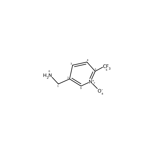 NCc1ccc(C(F)(F)F)[n+]([O-])c1